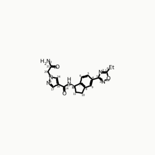 CCc1nc(-c2ccc3c(c2)CC[C@H]3NC(=O)c2cnn(CC(N)=O)c2)no1